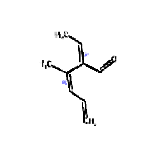 C=C/C=C(C)\C(C=O)=C/C